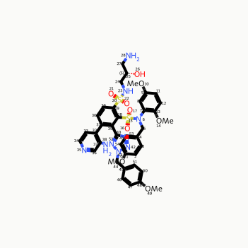 COc1ccc(CN(c2cc(OC)ccc2OC)S(=O)(=O)c2c(S(=O)(=O)NC[C@@H](O)CN)ccc(-c3ccncc3N)c2-c2nnn(Cc3ccc(OC)cc3)n2)cc1